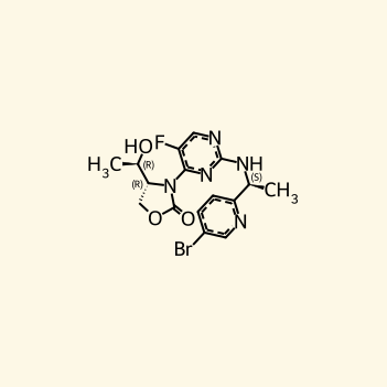 C[C@H](Nc1ncc(F)c(N2C(=O)OC[C@@H]2[C@@H](C)O)n1)c1ccc(Br)cn1